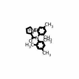 Cc1cc(C)c(N(C(=O)C2CCCN2)c2c(C)cc(C)cc2C)c(C)c1